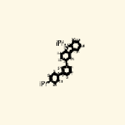 CC(C)c1ccc(-c2cccc(-c3ccc4c(c3)c3ccccc3n4C(C)C)c2)cc1